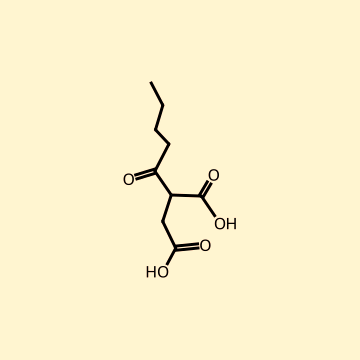 CCCCC(=O)C(CC(=O)O)C(=O)O